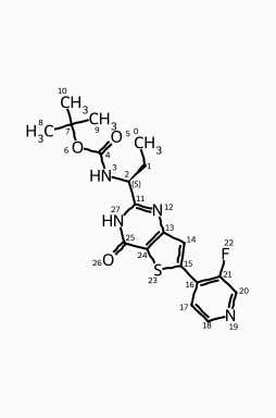 CC[C@H](NC(=O)OC(C)(C)C)c1nc2cc(-c3ccncc3F)sc2c(=O)[nH]1